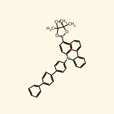 CC1(C)OB(c2ccc(N(c3ccc(-c4ccc(-c5ccccc5)cc4)cc3)c3ccccc3-c3ccccc3)cc2)OC1(C)C